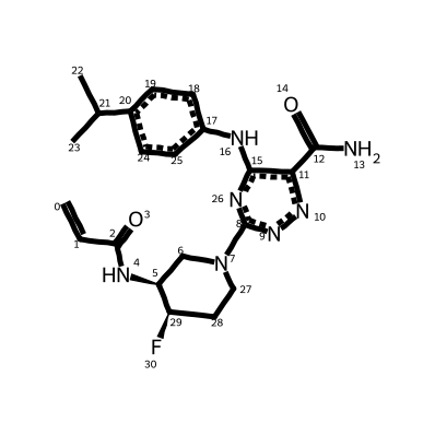 C=CC(=O)N[C@H]1CN(c2nnc(C(N)=O)c(Nc3ccc(C(C)C)cc3)n2)CC[C@H]1F